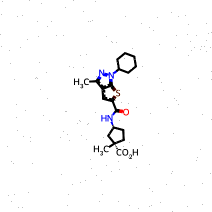 Cc1nn(C2CCCCC2)c2sc(C(=O)N[C@H]3CC[C@](C)(C(=O)O)C3)cc12